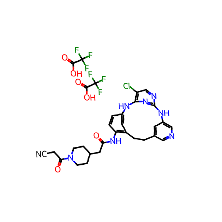 N#CCC(=O)N1CCC(CC(=O)Nc2ccc3cc2CCc2cncc(c2)Nc2ncc(Cl)c(n2)N3)CC1.O=C(O)C(F)(F)F.O=C(O)C(F)(F)F